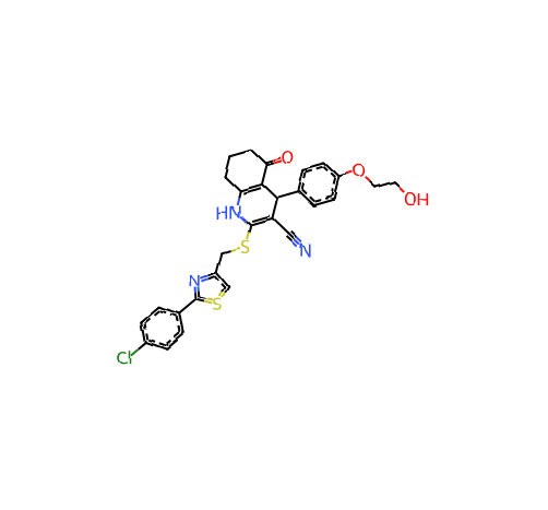 N#CC1=C(SCc2csc(-c3ccc(Cl)cc3)n2)NC2=C(C(=O)CCC2)C1c1ccc(OCCO)cc1